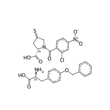 N[C@@H](Cc1ccc(OCc2ccccc2)cc1)C(=O)O.O=C(O)[C@@H]1CC(=S)CN1C(=O)c1ccc([N+](=O)[O-])cc1Cl